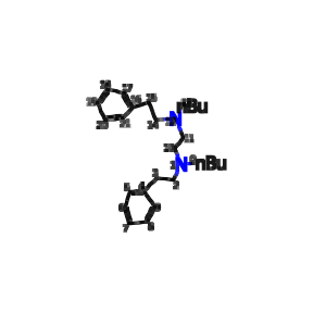 CCCCN(CCc1ccccc1)CCN(CCCC)CCc1ccccc1